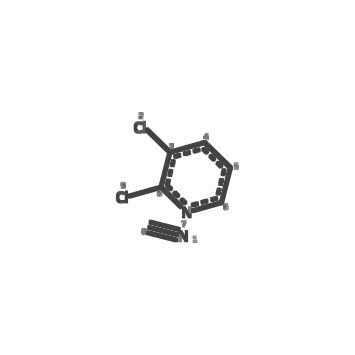 C#N.Clc1cccnc1Cl